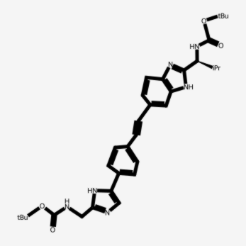 CC(C)[C@H](NC(=O)OC(C)(C)C)c1nc2ccc(C#Cc3ccc(-c4cnc(CNC(=O)OC(C)(C)C)[nH]4)cc3)cc2[nH]1